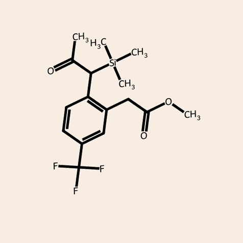 COC(=O)Cc1cc(C(F)(F)F)ccc1C(C(C)=O)[Si](C)(C)C